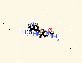 CC(N)C(=O)N1CCC(C(C)NC(=O)c2ccc3nccc(N)c3c2)CC1